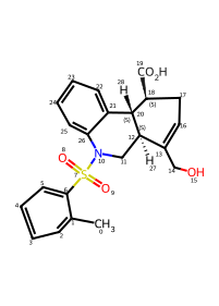 Cc1ccccc1S(=O)(=O)N1C[C@@H]2C(CO)=CC[C@H](C(=O)O)[C@H]2c2ccccc21